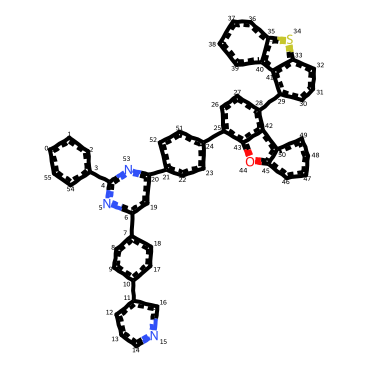 c1ccc(-c2nc(-c3ccc(-c4cccnc4)cc3)cc(-c3ccc(-c4ccc(-c5cccc6sc7ccccc7c56)c5c4oc4ccccc45)cc3)n2)cc1